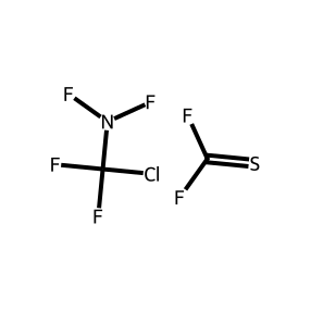 FC(F)=S.FN(F)C(F)(F)Cl